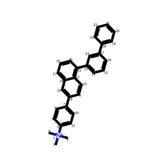 C[N+](C)(C)c1ccc(-c2ccc3c(-c4cccc(-c5ccccc5)c4)cccc3c2)cc1